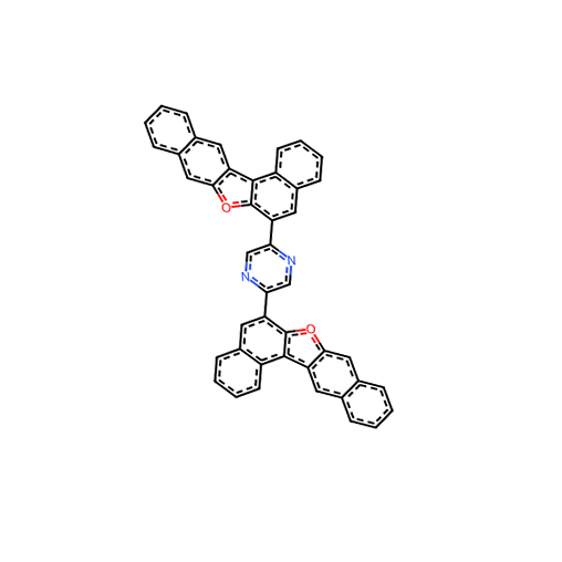 c1ccc2cc3c(cc2c1)oc1c(-c2cnc(-c4cc5ccccc5c5c4oc4cc6ccccc6cc45)cn2)cc2ccccc2c13